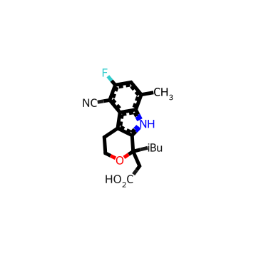 CCC(C)C1(CC(=O)O)OCCc2c1[nH]c1c(C)cc(F)c(C#N)c21